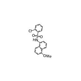 COc1cccc2c(NS(=O)(=O)c3ccccc3Cl)cccc12